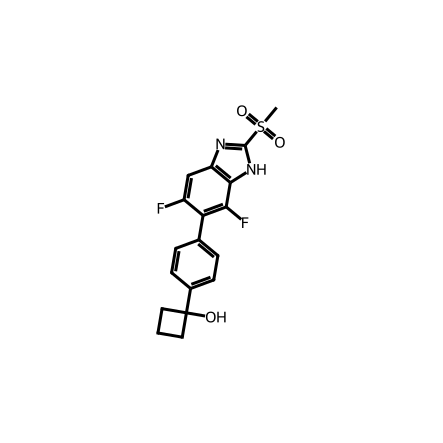 CS(=O)(=O)c1nc2cc(F)c(-c3ccc(C4(O)CCC4)cc3)c(F)c2[nH]1